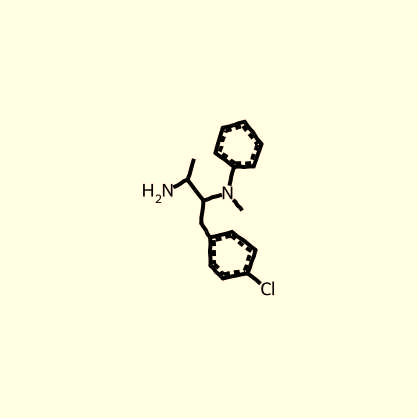 CC(N)C(Cc1ccc(Cl)cc1)N(C)c1ccccc1